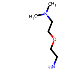 CN(C)CCOCC[NH]